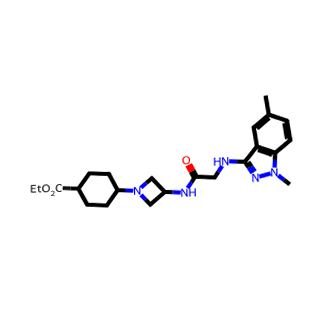 CCOC(=O)C1CCC(N2CC(NC(=O)CNc3nn(C)c4ccc(C)cc34)C2)CC1